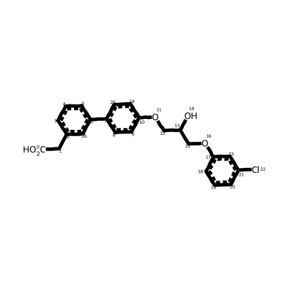 O=C(O)Cc1cccc(-c2ccc(OCC(O)COc3cccc(Cl)c3)cc2)c1